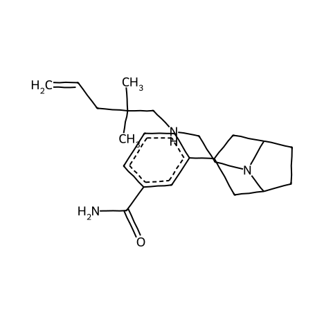 C=CCC(C)(C)CNCCN1C2CCC1CC(c1cccc(C(N)=O)c1)C2